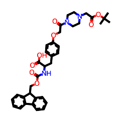 CC(C)(C)OC(=O)CN1CCN(C(=O)COc2ccc(CC(NC(=O)OCC3c4ccccc4-c4ccccc43)C(=O)O)cc2)CC1